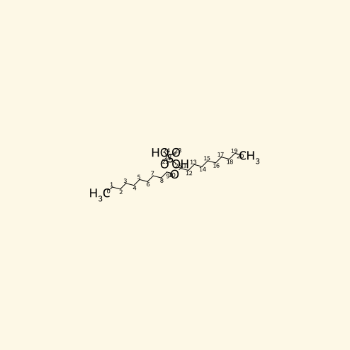 CCCCCCCCCCOCCCCCCCCCC.O=S(=O)(O)O